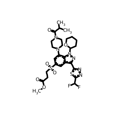 COC(=O)CCS(=O)(=O)c1cc(N2CCN(C(=O)C(C)C)CC2)c2c(c1)c(-c1nnc(C(F)F)s1)nn2C1CCCCO1